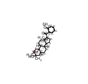 COC[C@]12CC[C@@](C)(O)C[C@@H]1CC[C@H]1[C@@H]3CC[C@H](C(=O)c4ccccc4OC)[C@@]3(C)CC[C@@H]12